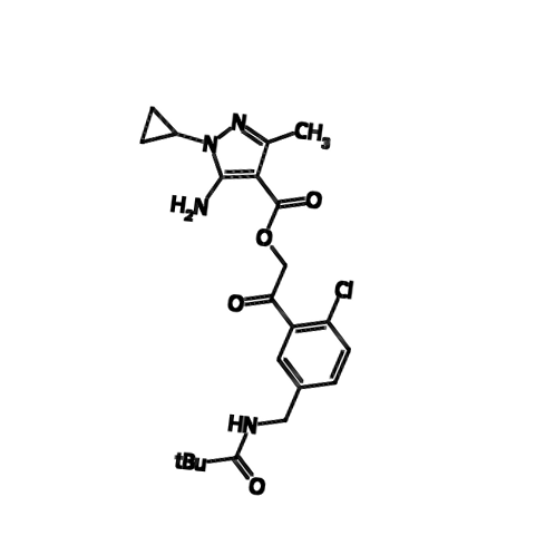 Cc1nn(C2CC2)c(N)c1C(=O)OCC(=O)c1cc(CNC(=O)C(C)(C)C)ccc1Cl